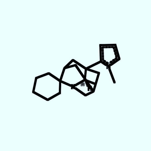 C[C@H]1N2CC3CC(CC1(c1cccn1C)C3)C21CCCCC1